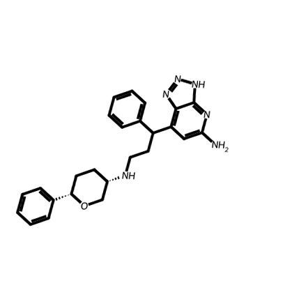 Nc1cc(C(CCN[C@H]2CC[C@@H](c3ccccc3)OC2)c2ccccc2)c2nn[nH]c2n1